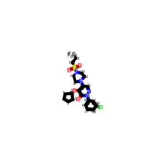 O=c1c(OC2CCCC2)c(N2CCN(S(=O)(=O)CCC(F)(F)F)CC2)cnn1-c1cccc(Cl)c1